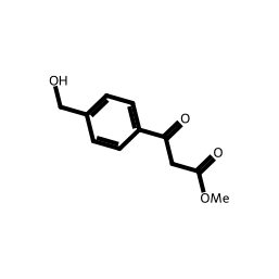 COC(=O)CC(=O)c1ccc(CO)cc1